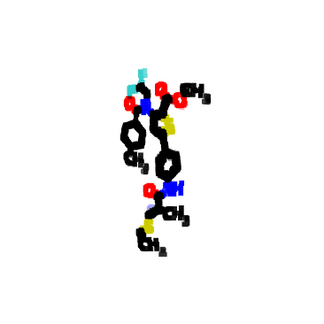 C=CS/C=C(\C)C(=O)Nc1ccc(-c2cc(N(CC(F)F)C(=O)[C@H]3CC[C@H](C)CC3)c(C(=O)OC)s2)cc1